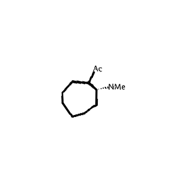 CN[C@@H]1CCCCCCC1C(C)=O